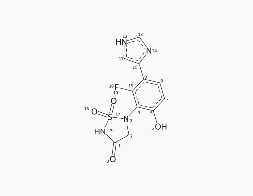 O=C1CN(c2c(O)ccc(-c3c[nH]cn3)c2F)S(=O)(=O)N1